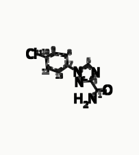 NC(=O)c1ncn(-c2ccc(Cl)cc2)n1